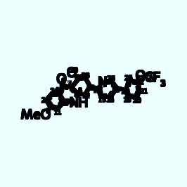 COc1ccc2c(=O)c3c([nH]c2c1)CC(c1ccc(-c2cccc(OC(F)(F)F)c2)cn1)CC3=O